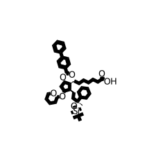 CC(C)(C)[Si](C)(C)O[C@@](C)(CC[C@H]1C(OC2CCCCO2)C[C@H](OC(=O)c2ccc(-c3ccccc3)cc2)[C@@H]1CCCCCCC(=O)O)C1CCCCC1